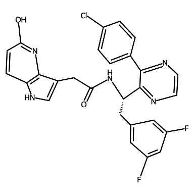 O=C(Cc1c[nH]c2ccc(O)nc12)N[C@@H](Cc1cc(F)cc(F)c1)c1nccnc1-c1ccc(Cl)cc1